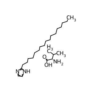 CC(C)[C@H](N)C(=O)O.CCCCCCCCCCCCCCCCCc1ncc[nH]1